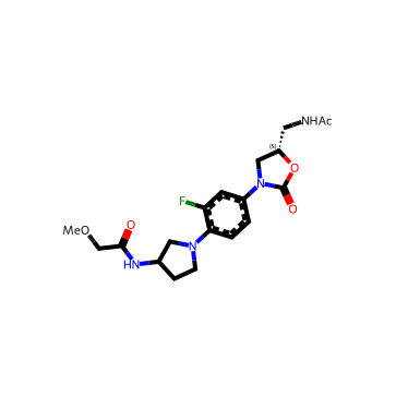 COCC(=O)NC1CCN(c2ccc(N3C[C@H](CNC(C)=O)OC3=O)cc2F)C1